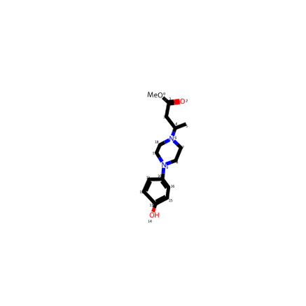 COC(=O)CC(C)N1CCN(c2ccc(O)cc2)CC1